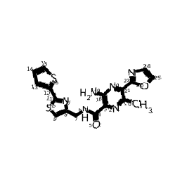 Cc1nc(C(=O)NCc2csc(-c3cccs3)n2)c(N)nc1-c1ncco1